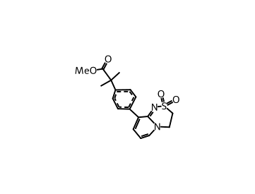 COC(=O)C(C)(C)c1ccc(C2=CC=CN3CCS(=O)(=O)N=C23)cc1